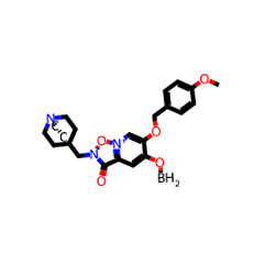 BOc1cc2c(=O)n(CC34CCN(CC3)CC4)o[n+]2cc1OCc1ccc(OC)cc1